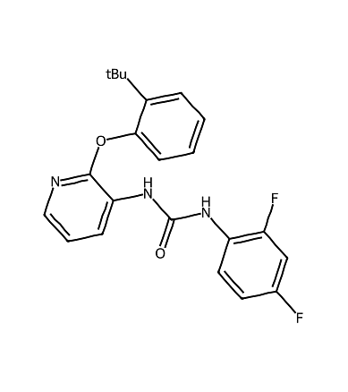 CC(C)(C)c1ccccc1Oc1ncccc1NC(=O)Nc1ccc(F)cc1F